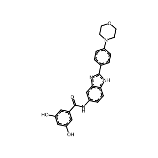 O=C(Nc1ccc2[nH]c(-c3ccc(N4CCOCC4)cc3)nc2c1)c1cc(O)cc(O)c1